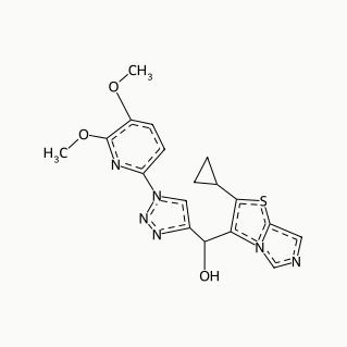 COc1ccc(-n2cc(C(O)c3c(C4CC4)sc4cncn34)nn2)nc1OC